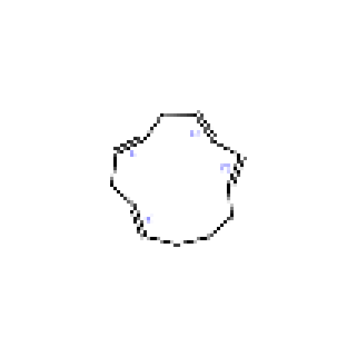 [C]1=C/C/C=C/CCC/C=C/C=C/C/1